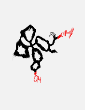 C=Cc1cc(C2(c3ccc4cc(O)ccc4c3)c3ccccc3-c3ccccc32)ccc1/C=C(/O)C(C)C